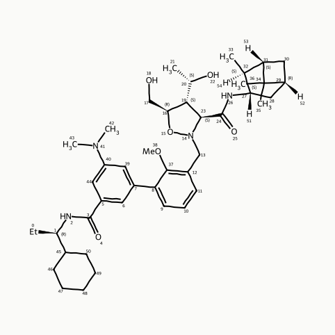 CC[C@@H](NC(=O)c1cc(-c2cccc(CN3O[C@@H](CO)[C@H]([C@H](C)O)[C@H]3C(=O)N[C@H]3C[C@H]4C[C@@H]([C@@H]3C)C4(C)C)c2OC)cc(N(C)C)c1)C1CCCCC1